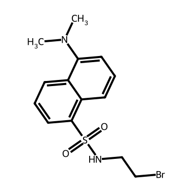 CN(C)c1cccc2c(S(=O)(=O)NCCBr)cccc12